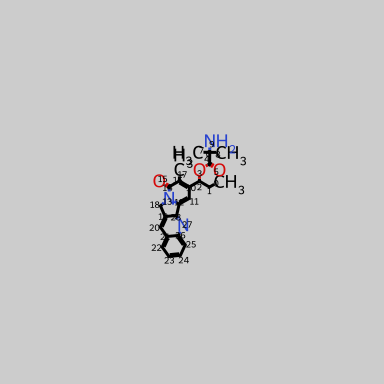 CCC(OC(=O)C(C)(C)N)c1cc2n(c(=O)c1C)Cc1cc3ccccc3nc1-2